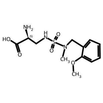 COc1ccccc1CN(C)S(=O)(=O)NC[C@H](N)C(=O)O